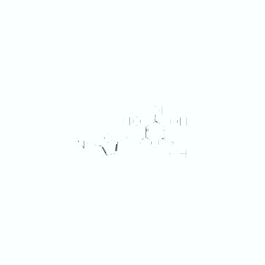 N#Cc1ccc(CO[C@@H]2O[C@H](CO)[C@@H](O)[C@H](O)[C@H]2O)o1